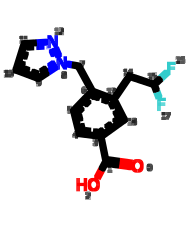 O=C(O)c1ccc(Cn2cccn2)c(CC(F)F)c1